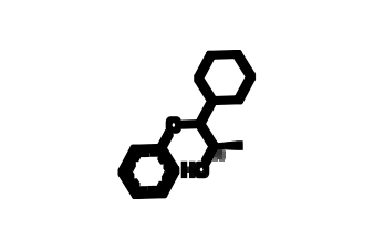 C[C@@H](O)C(Oc1ccccc1)C1CCCCC1